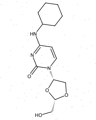 O=c1nc(NC2CCCCC2)ccn1[C@@H]1CO[C@H](CO)O1